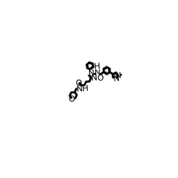 Cn1cc(-c2cccc(C(=O)Nc3nc(CCCC(=O)NCC4CCOCC4)cn3-c3ccccc3)c2)cn1